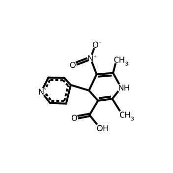 CC1=C(C(=O)O)C(c2ccncc2)C([N+](=O)[O-])=C(C)N1